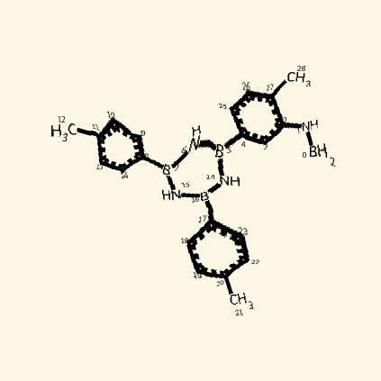 BNc1cc(B2NB(c3ccc(C)cc3)NB(c3ccc(C)cc3)N2)ccc1C